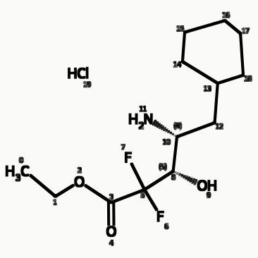 CCOC(=O)C(F)(F)[C@@H](O)[C@H](N)CC1CCCCC1.Cl